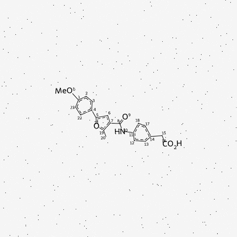 COc1ccc(-c2cc(C(=O)Nc3ccc(CC(=O)O)cc3)c(C)o2)cc1